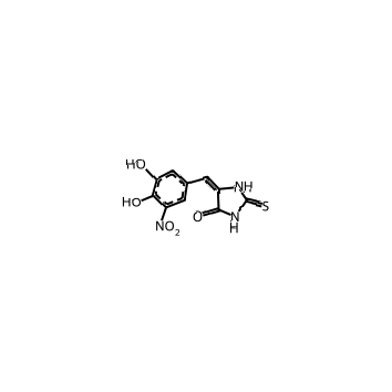 O=C1NC(=S)NC1=Cc1cc(O)c(O)c([N+](=O)[O-])c1